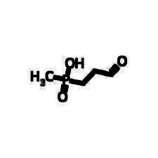 CP(=O)(O)CCC=O